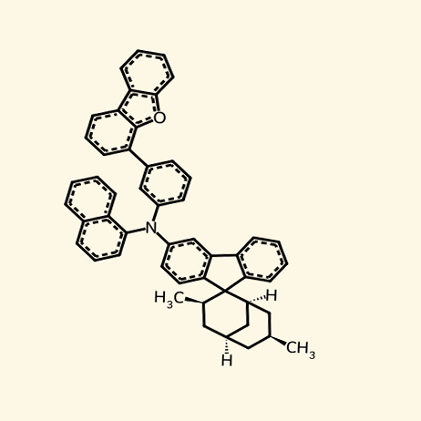 C[C@H]1C[C@@H]2C[C@H](C1)C1(c3ccccc3-c3cc(N(c4cccc(-c5cccc6c5oc5ccccc56)c4)c4cccc5ccccc45)ccc31)[C@H](C)C2